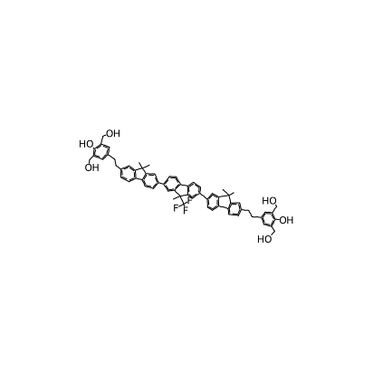 CC1(C)c2cc(CCc3cc(CO)c(O)c(CO)c3)ccc2-c2ccc(-c3ccc4c(c3)C(C)(C(F)(F)F)c3cc(-c5ccc6c(c5)C(C)(C)c5cc(CCc7cc(CO)c(O)c(CO)c7)ccc5-6)ccc3-4)cc21